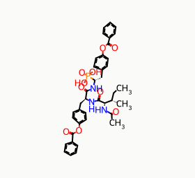 CC[C@H](C)[C@H](NC(C)=O)C(=O)N[C@@H](Cc1ccc(OC(=O)c2ccccc2)cc1)C(=O)N[C@@H](Cc1ccc(OC(=O)c2ccccc2)cc1)P(=O)(O)O